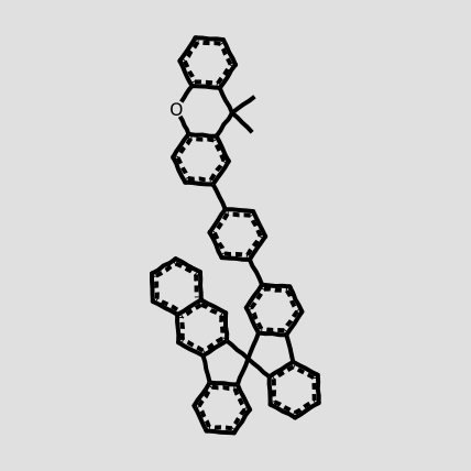 CC1(C)c2ccccc2Oc2ccc(-c3ccc(-c4ccc5c(c4)C4(c6ccccc6-5)c5ccccc5-c5cc6ccccc6cc54)cc3)cc21